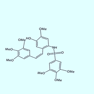 COc1cc(NS(=O)(=O)c2cc(OC)c(OC)c(OC)c2)c(C=Cc2cc(OC)c(OC)c(OC)c2)cc1O